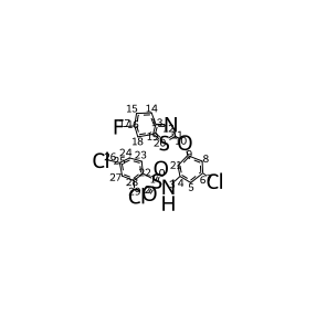 O=S(=O)(Nc1cc(Cl)cc(Oc2nc3ccc(F)cc3s2)c1)c1ccc(Cl)cc1Cl